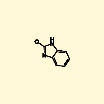 [O]c1nc2ccccc2[nH]1